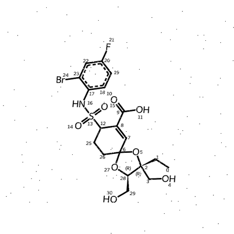 CC[C@]1(CO)OC2(C=C(C(=O)O)C(S(=O)(=O)Nc3ccc(F)cc3Br)CC2)O[C@@H]1CO